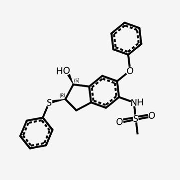 CS(=O)(=O)Nc1cc2c(cc1Oc1ccccc1)[C@H](O)[C@H](Sc1ccccc1)C2